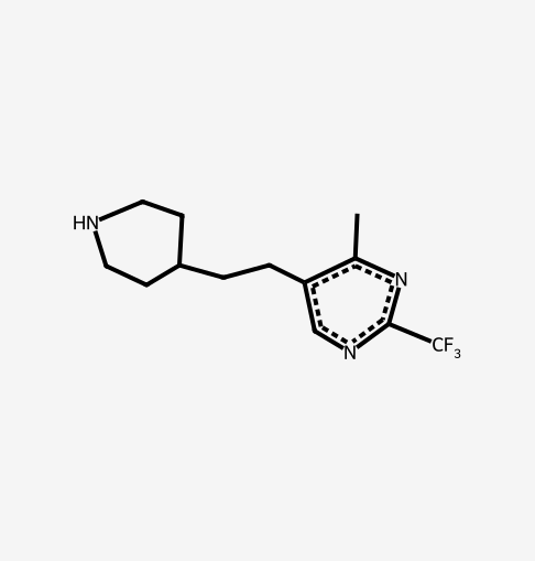 Cc1nc(C(F)(F)F)ncc1CCC1CCNCC1